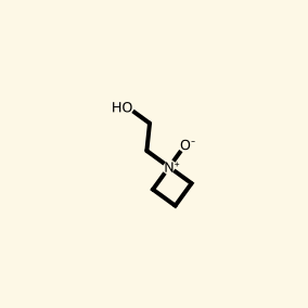 [O-][N+]1(CCO)CCC1